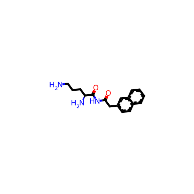 NCCC[C@H](N)C(=O)NC(=O)Cc1ccc2ccccc2c1